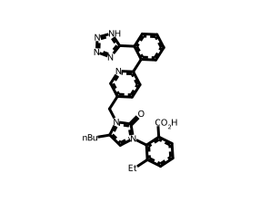 CCCCc1cn(-c2c(CC)cccc2C(=O)O)c(=O)n1Cc1ccc(-c2ccccc2-c2nnn[nH]2)nc1